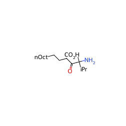 CCCCCCCCCCCC(=O)C(N)(C(=O)O)C(C)C